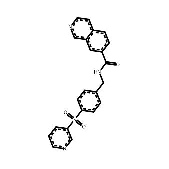 O=C(NCc1ccc(S(=O)(=O)c2cccnc2)cc1)c1ccc2ccncc2c1